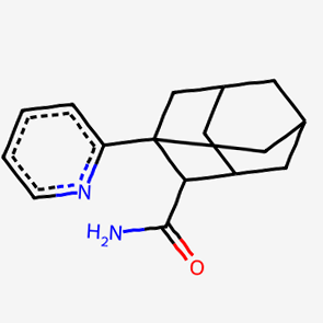 NC(=O)C1C2CC3CC(C2)CC1(c1ccccn1)C3